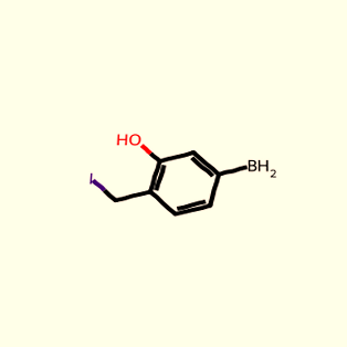 Bc1ccc(CI)c(O)c1